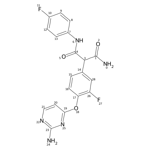 NC(=O)C(C(=O)Nc1ccc(F)cc1)c1ccc(Oc2ccnc(N)n2)c(F)c1